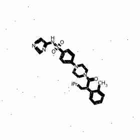 Cc1ccccc1C(CC(C)C)C(=O)N1CCN(c2ccc(S(=O)(=O)Nc3ccncn3)cc2)CC1